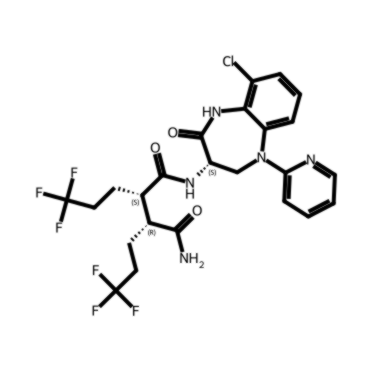 NC(=O)[C@H](CCC(F)(F)F)[C@H](CCC(F)(F)F)C(=O)N[C@H]1CN(c2ccccn2)c2cccc(Cl)c2NC1=O